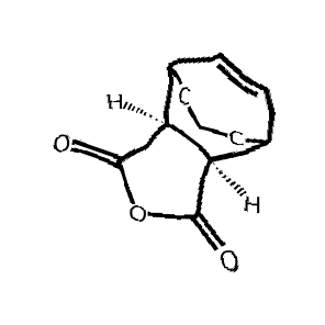 O=C1OC(=O)[C@H]2C3C=CC(CCC3)[C@@H]12